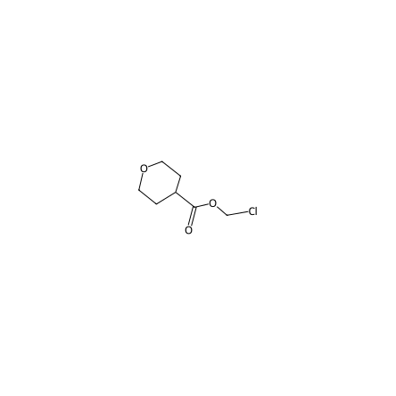 O=C(OCCl)C1CCOCC1